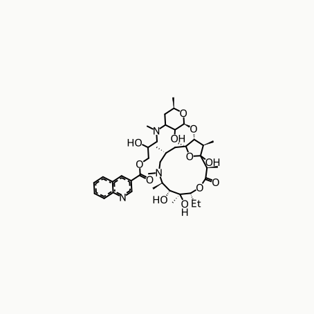 CC[C@H]1OC(=O)[C@H](C)C2(O)O[C@@](C)(C[C@@H](C)CN(C)[C@H](C)[C@@H](O)[C@]1(C)O)[C@H](O[C@@H]1O[C@H](C)CC(N(C)CC(O)COC(=O)c3cnc4ccccc4c3)C1O)[C@H]2C